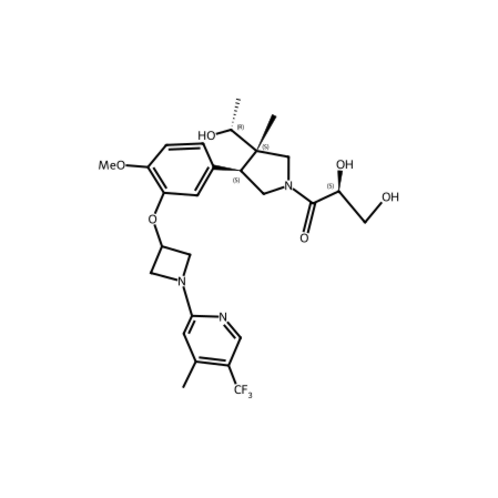 COc1ccc([C@@H]2CN(C(=O)[C@@H](O)CO)C[C@@]2(C)[C@@H](C)O)cc1OC1CN(c2cc(C)c(C(F)(F)F)cn2)C1